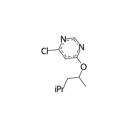 CC(C)CC(C)Oc1cc(Cl)ncn1